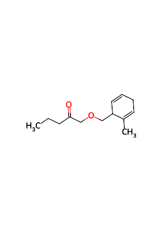 CCCC(=O)COCC1C=CCC=C1C